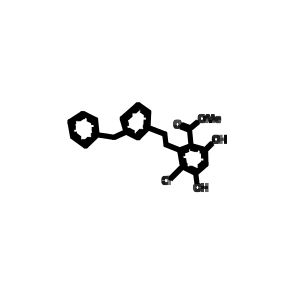 COC(=O)c1c(O)cc(O)c(Cl)c1CCc1cccc(Cc2ccccc2)c1